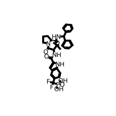 CC(C)(C)C(NC(=O)c1cc2cc(C(F)(F)P(=O)(O)O)ccc2[nH]1)C(=O)N1CCC[C@H]1C(=O)NC(c1ccccc1)c1ccccc1